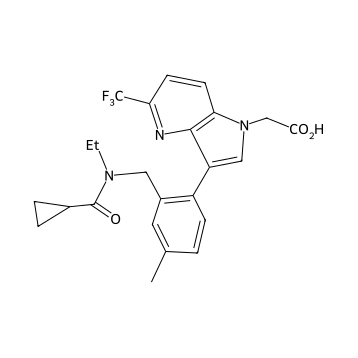 CCN(Cc1cc(C)ccc1-c1cn(CC(=O)O)c2ccc(C(F)(F)F)nc12)C(=O)C1CC1